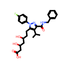 CC(C)c1c(C(=O)NCc2ccccc2)nn(-c2ccc(F)cc2)c1CCC(O)CC(O)CC(=O)O